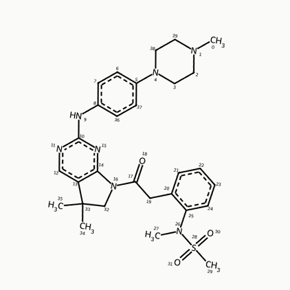 CN1CCN(c2ccc(Nc3ncc4c(n3)N(C(=O)Cc3ccccc3N(C)S(C)(=O)=O)CC4(C)C)cc2)CC1